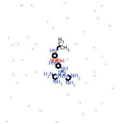 CC(C)CCNc1ccc(S(=O)(=O)Nc2ccc(Nc3nc(N4C[C@H](N)C[C@H](N)C4)nc(N4C[C@H](N)C[C@H](N)C4)n3)cc2O)cc1